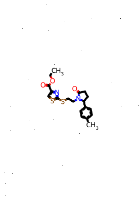 CCOC(=O)c1csc(SCCN2C(=O)CCC2c2ccc(C)cc2)n1